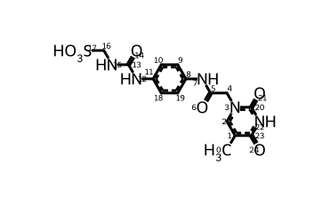 Cc1cn(CC(=O)Nc2ccc(NC(=O)NCS(=O)(=O)O)cc2)c(=O)[nH]c1=O